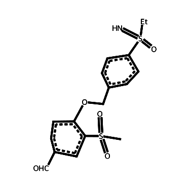 CCS(=N)(=O)c1ccc(COc2ccc(C=O)cc2S(C)(=O)=O)cc1